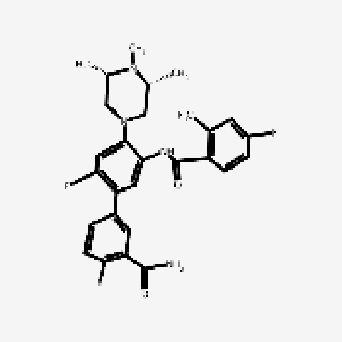 C[C@@H]1CN(c2cc(F)c(-c3ccc(F)c(C(N)=O)c3)cc2NC(=O)c2ccc(F)cc2C(F)(F)F)C[C@H](C)N1C